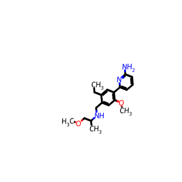 CCc1cc(-c2cccc(N)n2)c(OC)cc1CNC(C)COC